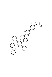 CC1=CC(C2C=C(C)C(C3=C4CCCC5C4C(CC3)C3C(C4CCCCC4)C4C6CCCC7C8CCCCC8C(CC4C(C4CCCCC4)C53)C76)C(C)C2)CC(C)C1N